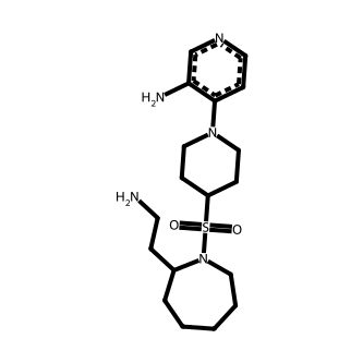 NCCC1CCCCCN1S(=O)(=O)C1CCN(c2ccncc2N)CC1